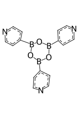 c1cc(B2OB(c3ccncc3)OB(c3ccncc3)O2)ccn1